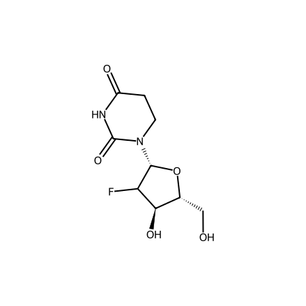 O=C1CCN([C@@H]2O[C@H](CO)[C@@H](O)C2F)C(=O)N1